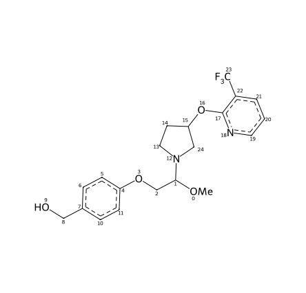 COC(COc1ccc(CO)cc1)N1CCC(Oc2ncccc2C(F)(F)F)C1